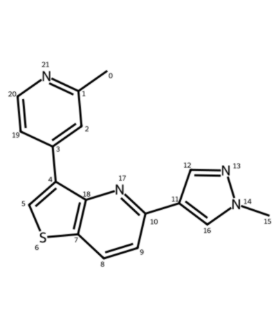 Cc1cc(-c2csc3ccc(-c4cnn(C)c4)nc23)ccn1